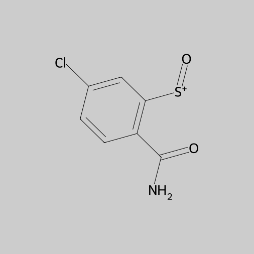 NC(=O)c1ccc(Cl)cc1[S+]=O